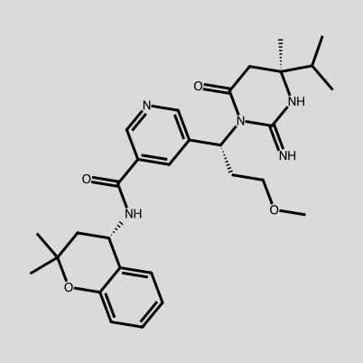 COCC[C@H](c1cncc(C(=O)N[C@H]2CC(C)(C)Oc3ccccc32)c1)N1C(=N)N[C@](C)(C(C)C)CC1=O